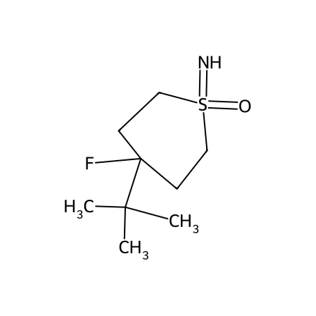 CC(C)(C)C1(F)CCS(=N)(=O)CC1